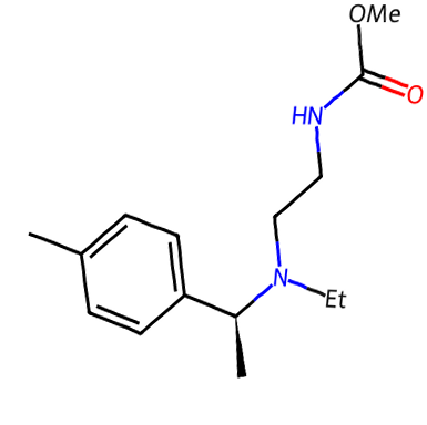 CCN(CCNC(=O)OC)[C@@H](C)c1ccc(C)cc1